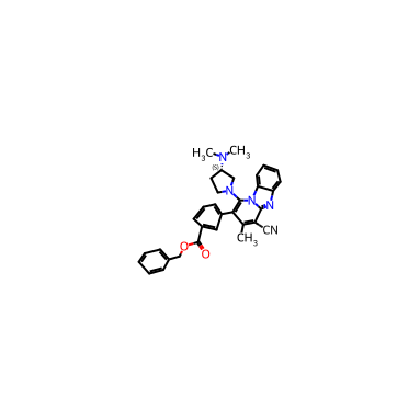 Cc1c(-c2cccc(C(=O)OCc3ccccc3)c2)c(N2CC[C@H](N(C)C)C2)n2c(nc3ccccc32)c1C#N